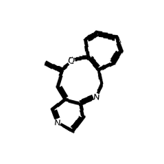 C=C1/C=c2/cncc/c2=N/CC2=C(C=C=CC=C2)O1